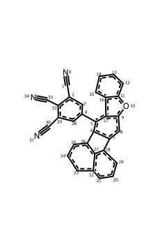 N#Cc1cc(-c2c3c(cc4oc5ccccc5c24)-c2cccc4cccc-3c24)cc(C#N)c1C#N